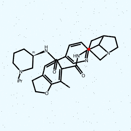 Cc1c(C(=O)NC2CC3CCN(C2)C3c2ccc(C(=O)N[C@@H]3CCCN(C(C)C)C3)cn2)ccc2c1OCC2